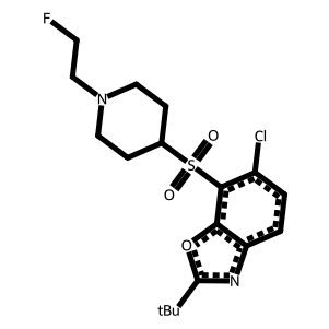 CC(C)(C)c1nc2ccc(Cl)c(S(=O)(=O)C3CCN(CCF)CC3)c2o1